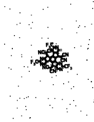 N#CC(C#N)=C1c2cnc(C(F)(F)F)nc2-c2c1c1c(c3c2C(=C(C#N)C#N)c2cnc(C(F)(F)F)nc2-3)C(=C(C#N)C#N)c2nc(C(F)(F)F)ncc2-1